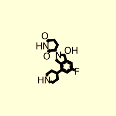 O=C1CCC(N2Cc3c(C4CCNCC4)cc(F)cc3C2O)C(=O)N1